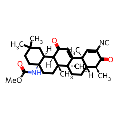 [C-]#[N+]C1=C[C@]2(C)C3=CC(=O)[C@@H]4[C@@H]5CC(C)(C)CC[C@]5(NC(=O)OC)CC[C@@]4(C)[C@]3(C)CC[C@H]2[C@H](C)C1=O